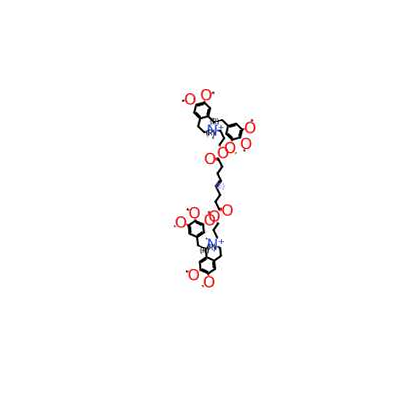 COc1cc2c(cc1OC)[C@@H](Cc1cc(OC)c(OC)c(OC)c1)[N@@+](C)(CCCOC(=O)CC/C=C/CCC(=O)OCCC[N@@+]1(C)CCc3cc(OC)c(OC)cc3[C@H]1Cc1cc(OC)c(OC)c(OC)c1)CC2